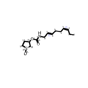 CC/C=C\CC/C=C/CNC(=O)OC1CC[S+]([O-])C1